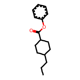 CCCC1CCC(C(=O)Oc2ccccc2)CC1